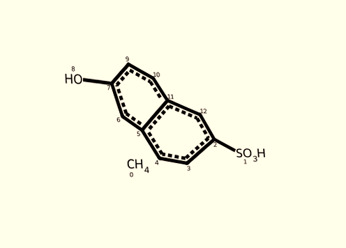 C.O=S(=O)(O)c1ccc2cc(O)ccc2c1